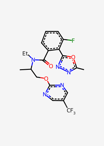 CCN(C(=O)c1cccc(F)c1-c1nnc(C)o1)C(C)COc1ncc(C(F)(F)F)cn1